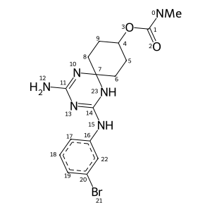 CNC(=O)OC1CCC2(CC1)N=C(N)N=C(Nc1cccc(Br)c1)N2